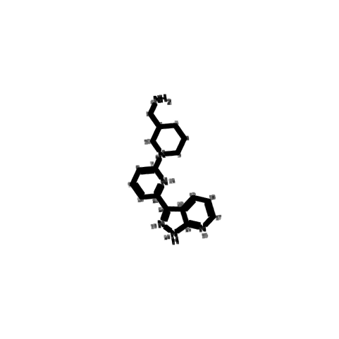 NCC1CCCN(c2cccc(-c3n[nH]c4ncccc34)n2)C1